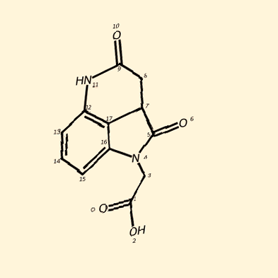 O=C(O)CN1C(=O)C2CC(=O)Nc3cccc1c32